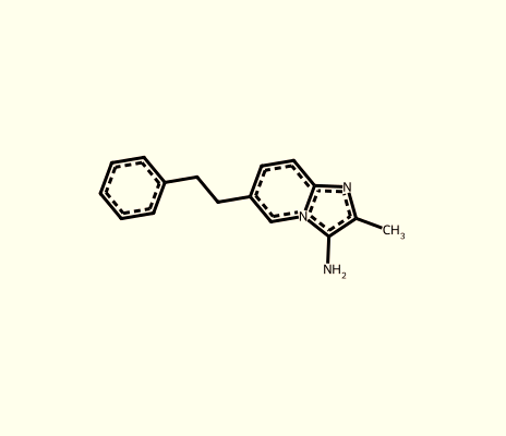 Cc1nc2ccc(CCc3ccccc3)cn2c1N